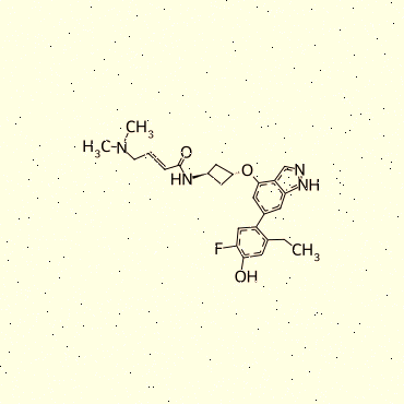 CCc1cc(O)c(F)cc1-c1cc(O[C@H]2C[C@H](NC(=O)/C=C/CN(C)C)C2)c2cn[nH]c2c1